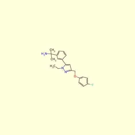 CCn1nc(COc2ccc(F)cc2)cc1-c1cccc(C(C)(C)N)c1